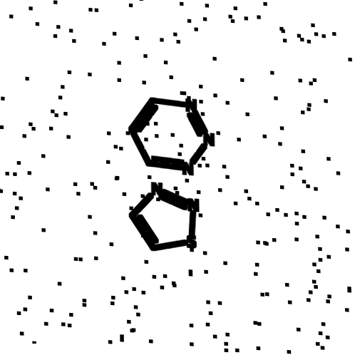 c1cnnnc1.c1csnn1